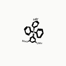 Br.COc1cc(OC)cc([PH](c2ccccc2)(c2ccccc2)c2ccccc2)c1